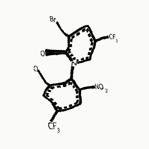 O=c1c(Br)cc(C(F)(F)F)cn1-c1c(Cl)cc(C(F)(F)F)cc1[N+](=O)[O-]